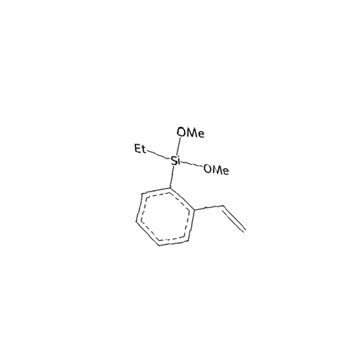 C=Cc1ccccc1[Si](CC)(OC)OC